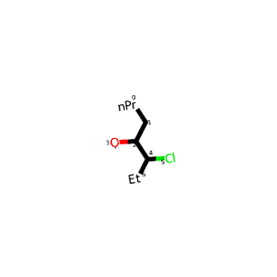 CCCCC([O])C(Cl)CC